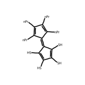 CCCC1=C(CCC)C(=C2C(S)=C(S)C(S)=C2S)C(CCC)=C1CCC